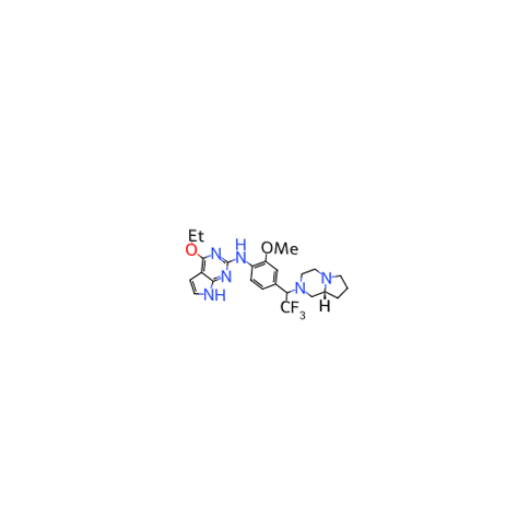 CCOc1nc(Nc2ccc(C(N3CCN4CCC[C@@H]4C3)C(F)(F)F)cc2OC)nc2[nH]ccc12